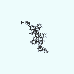 CC[C@H](C)[C@@H](C(=O)N[C@@H](Cc1ccccc1)[C@H](O)CN(CC1CCCC1)S(=O)(=O)c1ccc(C=NO)cc1)N1CCN(Cc2cccc(COC)n2)C1=O